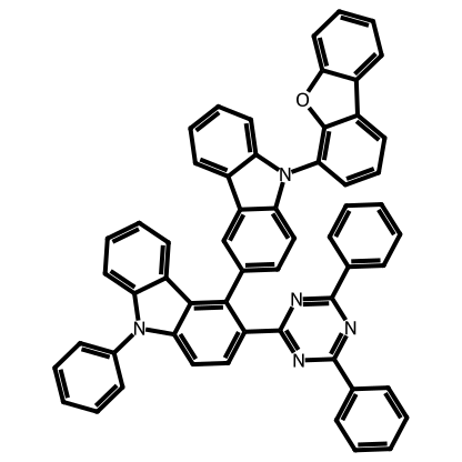 c1ccc(-c2nc(-c3ccccc3)nc(-c3ccc4c(c3-c3ccc5c(c3)c3ccccc3n5-c3cccc5c3oc3ccccc35)c3ccccc3n4-c3ccccc3)n2)cc1